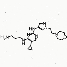 NCCCNc1nc(Nc2cnn(CCN3CCOCC3)c2)ncc1C1CC1